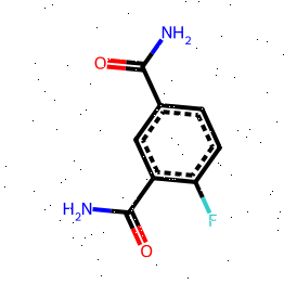 NC(=O)c1ccc(F)c(C(N)=O)c1